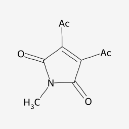 CC(=O)C1=C(C(C)=O)C(=O)N(C)C1=O